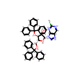 O[C@@H]1[C@H](OC(c2ccccc2)(c2ccccc2)c2ccccc2)[C@@H](COC(c2ccccc2)(c2ccccc2)c2ccccc2)O[C@H]1n1cnc2cnc(F)nc21